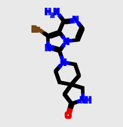 Nc1nccn2c(N3CCC4(CC3)CNC(=O)C4)nc(Br)c12